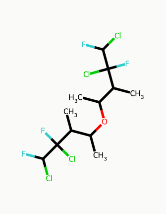 CC(OC(C)C(C)C(F)(Cl)C(F)Cl)C(C)C(F)(Cl)C(F)Cl